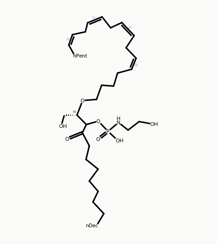 CCCCC/C=C\C/C=C\C/C=C\C/C=C\CCCCO[C@@H](CO)C(OP(=O)(O)NCCO)C(=O)CCCCCCCCCCCCCCCCC